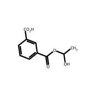 CC(O)OC(=O)c1cccc(C(=O)O)c1